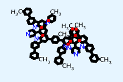 Cc1cccc(-c2ccc3c(c2)c2cc(-c4cccc(C)c4)ccc2n3-c2cncc(-n3c4ccc(-c5cccc(C)c5)cc4c4cc(-c5ccc(-c6cc(-c7cccc(C)c7)cc7c6c6ccc(-c8cccc(C)c8)cc6n7-c6cncc(-n7c8cc(-c9cccc(C)c9)ccc8c8ccc(-c9cccc(C)c9)cc87)c6-c6ccccc6C#N)c(C)c5)ccc43)c2-c2cccc(C#N)c2)c1